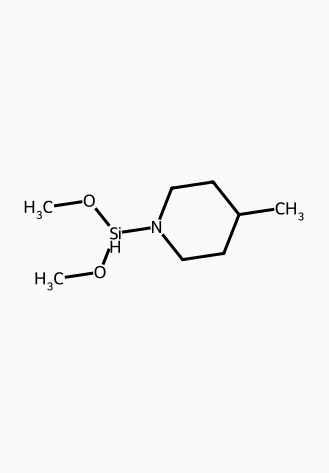 CO[SiH](OC)N1CCC(C)CC1